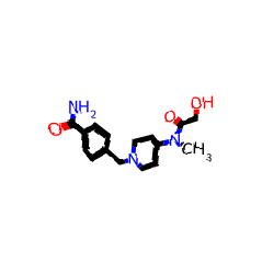 CN(C(=O)CO)C1CCN(Cc2ccc(C(N)=O)cc2)CC1